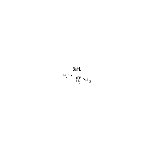 [BaH2].[CaH2].[PbH2].[SnH2]